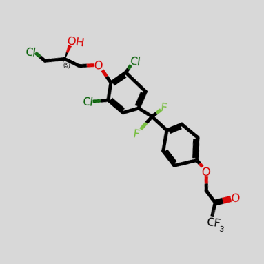 O=C(COc1ccc(C(F)(F)c2cc(Cl)c(OC[C@H](O)CCl)c(Cl)c2)cc1)C(F)(F)F